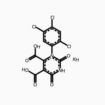 O=C(O)c1c(C(=O)O)n(-c2cc(Cl)c(Cl)cc2Cl)c(=O)[nH]c1=O.[KH]